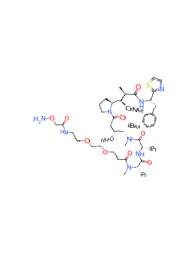 CC[C@H](C)[C@@H]([C@@H](CC(=O)N1CCC[C@H]1[C@H](OC)[C@@H](C)C(=O)N[C@@H](Cc1ccccc1)c1nccs1)OC)N(C)C(=O)[C@@H](NC(=O)[C@H](C(C)C)N(C)C(=O)CCOCCOCCNC(=O)CON)C(C)C